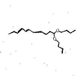 CCC=CC=CCCCCC(OCCCC)OCCCC